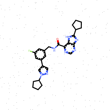 O=C(NCc1cc(F)cc(-c2cnn(C3CCCC3)c2)c1)c1ncnc2nc(C3CCCC3)[nH]c12